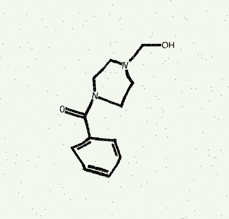 O=C(c1c[c]ccc1)N1CCN(CO)CC1